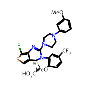 COc1cccc(N2CCN(C3=Nc4c(csc4F)[C@@H](CC(=O)O)N3c3cc(C(F)(F)F)ccc3OC)CC2)c1